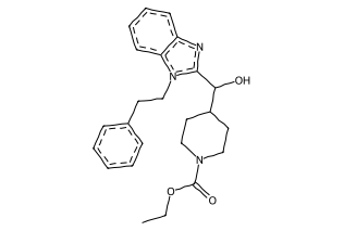 CCOC(=O)N1CCC(C(O)c2nc3ccccc3n2CCc2ccccc2)CC1